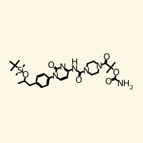 CC(Cc1ccc(-n2ccc(NC(=O)N3CCN(C(=O)C(C)(C)OC(N)=O)CC3)nc2=O)cc1)O[Si](C)(C)C(C)(C)C